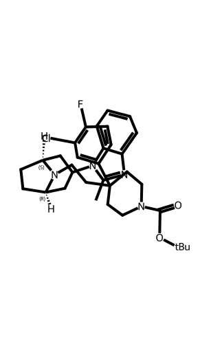 Cc1nc2ccccc2n1C1C[C@H]2CC[C@@H](C1)N2CCC1(c2ccc(F)c(Cl)c2)CCN(C(=O)OC(C)(C)C)CC1